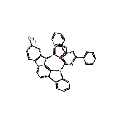 CC1C=Cc2c(n(-c3ccccc3)c3c2ccc2c4ccccc4n(-c4nc(-c5ccccc5)nc(-c5ccccc5)n4)c23)C1